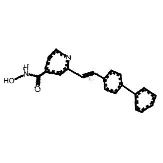 O=C(NO)c1ccnc(/C=C/c2ccc(-c3ccccc3)cc2)c1